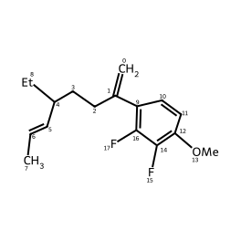 C=C(CCC(C=CC)CC)c1ccc(OC)c(F)c1F